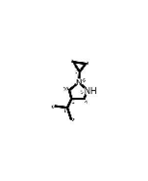 CC(C)C1CNN(C2CC2)C1